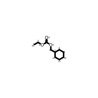 O=C(OCI)OCC1CCCCC1